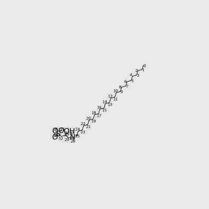 CCCCCCCCCCCCCCCCCCCCCCCCCC[N+](C)(C)CC(O)CS(=O)(=O)[O-]